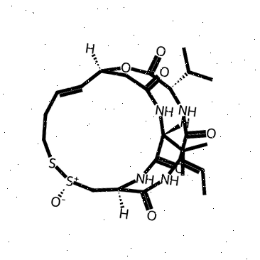 C/C=C1\NC(=O)[C@H]2C[S@+]([O-])SCC/C=C/[C@H](CC(=O)N[C@H](C(C)C)C(=O)N2)OC(=O)[C@H](C(C)C)NC1=O